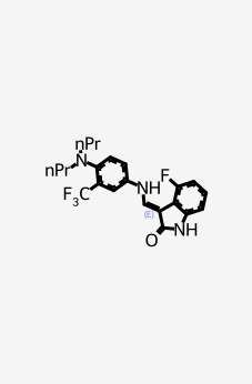 CCCN(CCC)c1ccc(N/C=C2/C(=O)Nc3cccc(F)c32)cc1C(F)(F)F